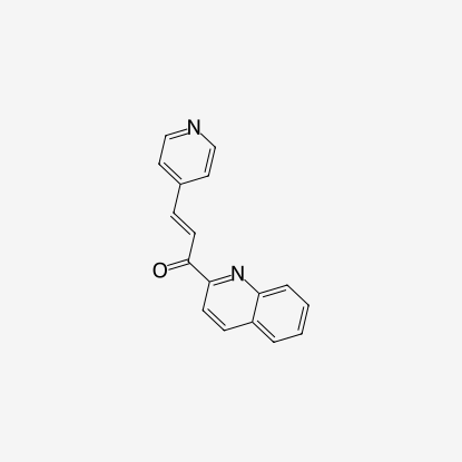 O=C(C=Cc1ccncc1)c1ccc2ccccc2n1